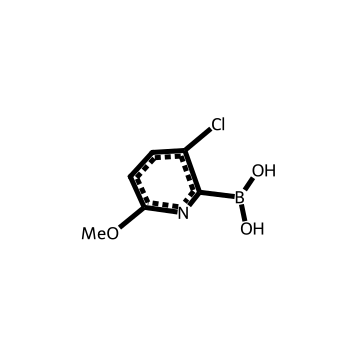 COc1ccc(Cl)c(B(O)O)n1